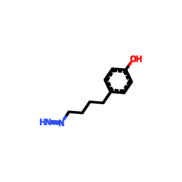 N=NCCCCc1ccc(O)cc1